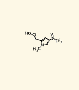 CNc1cc(COO)n(C)c1